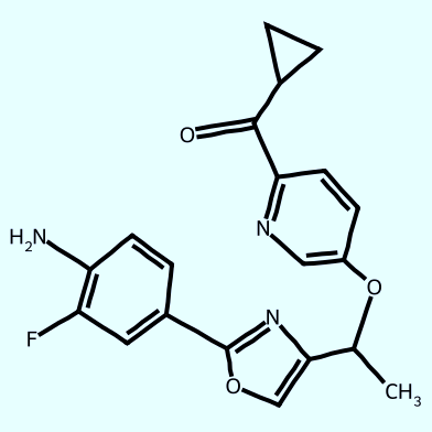 CC(Oc1ccc(C(=O)C2CC2)nc1)c1coc(-c2ccc(N)c(F)c2)n1